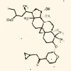 COC(CI)C[C@@H](C)[C@H]1C[C@H](O)[C@@]2(C)C3CC[C@H]4C(C)(C)C(O[C@H]5CN(C(=O)CC6CC6)CCO5)CCC45CC35CCC12C